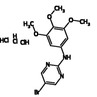 COc1cc(Nc2ncc(Br)cn2)cc(OC)c1OC.Cl.Cl.Cl